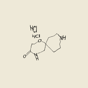 Cl.Cl.O=C1COC2(CCNCC2)CN1